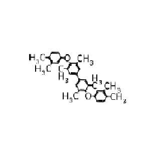 Cc1ccc(Oc2c(C)cc(-c3cc(C)c(Oc4ccc(C)c(C)c4)c(C)c3)cc2C)cc1C